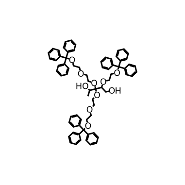 CC(O)C(OCCOCCOC(c1ccccc1)(c1ccccc1)c1ccccc1)(OCCOCCOC(c1ccccc1)(c1ccccc1)c1ccccc1)C(CO)OCCOC(c1ccccc1)(c1ccccc1)c1ccccc1